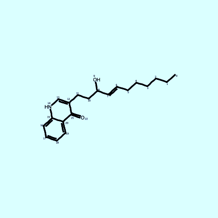 CCCCCCC=CC(O)CCc1c[nH]c2ccccc2c1=O